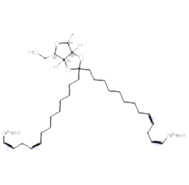 CCCCC/C=C\C/C=C\CCCCCCCCC1(CCCCCCCC/C=C\C/C=C\CCCCC)O[C@@H]2[C@H](O1)[C@@H](CO)O[C@H]2C